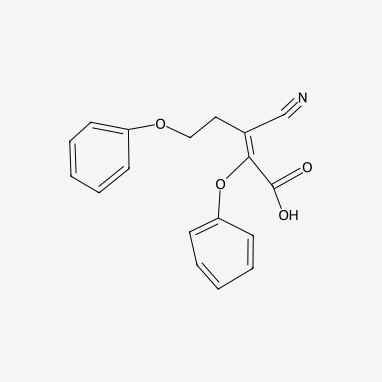 N#CC(CCOc1ccccc1)=C(Oc1ccccc1)C(=O)O